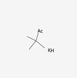 CC(=O)C(C)(C)C.[KH]